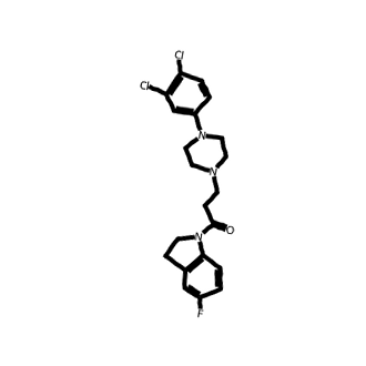 O=C(CCN1CCN(c2ccc(Cl)c(Cl)c2)CC1)N1CCc2cc(F)ccc21